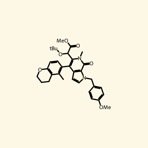 COC(=O)C(OC(C)(C)C)c1c(-c2ccc3c(c2C)CCCO3)c2ccn(Cc3ccc(OC)cc3)c2c(=O)n1C